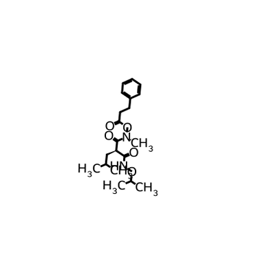 CC(C)C[C@H](C(=O)NOC(C)C)C(=O)N(C)OC(=O)CCc1ccccc1